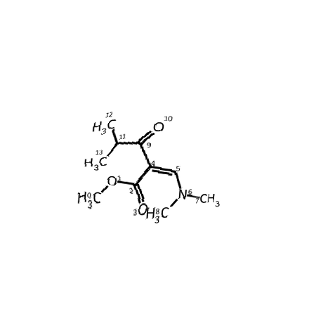 COC(=O)/C(=C\N(C)C)C(=O)C(C)C